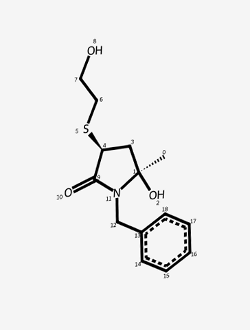 C[C@@]1(O)C[C@H](SCCO)C(=O)N1Cc1ccccc1